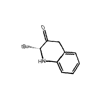 CC(C)(C)[C@H]1Nc2ccccc2CC1=O